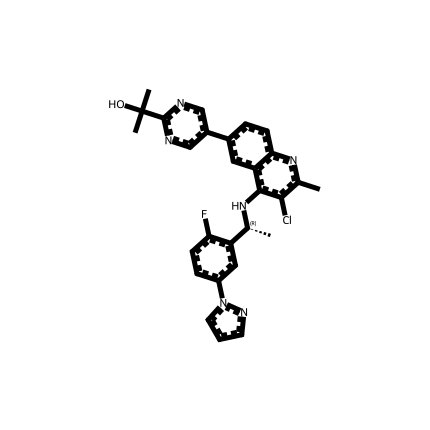 Cc1nc2ccc(-c3cnc(C(C)(C)O)nc3)cc2c(N[C@H](C)c2cc(-n3cccn3)ccc2F)c1Cl